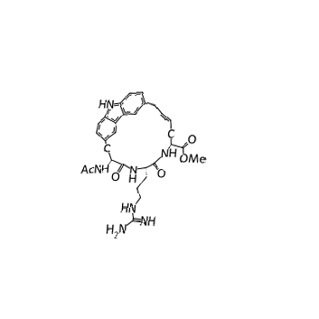 COC(=O)C1C/C=C/Cc2ccc3[nH]c4ccc(cc4c3c2)CC(NC(C)=O)C(=O)N[C@@H](CCCNC(=N)N)C(=O)N1